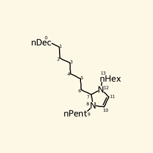 CCCCCCCCCCCCCCCCC1N(CCCCC)C=CN1CCCCCC